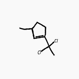 CC1C=C(C(C)(Cl)Cl)CC1